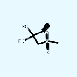 C#CC(O)(CS(C)(=O)=O)C(F)(F)F